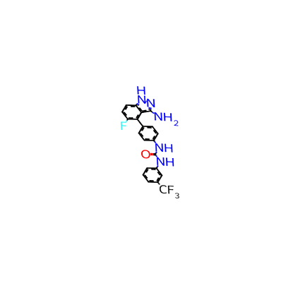 Nc1n[nH]c2ccc(F)c(-c3ccc(NC(=O)Nc4cccc(C(F)(F)F)c4)cc3)c12